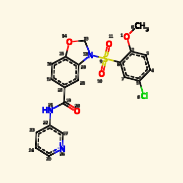 COc1ccc(Cl)cc1S(=O)(=O)N1COc2ccc(C(=O)Nc3cccnc3)cc21